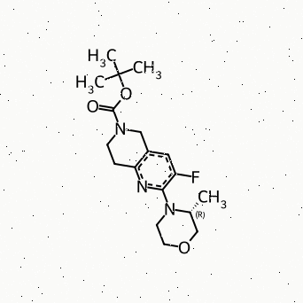 C[C@@H]1COCCN1c1nc2c(cc1F)CN(C(=O)OC(C)(C)C)CC2